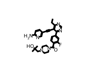 CCc1ncnc(-c2ccc(C(=O)N3CCN(CC(C)(C)O)CC3)c(F)c2)c1C#Cc1ccc(N)nc1